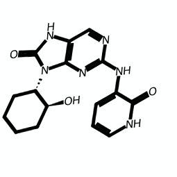 O=c1[nH]cccc1Nc1ncc2[nH]c(=O)n([C@H]3CCCC[C@@H]3O)c2n1